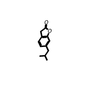 CC(C)Cc1ccc2c(c1)OC(=O)C2